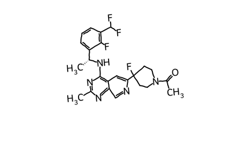 CC(=O)N1CCC(F)(c2cc3c(N[C@H](C)c4cccc(C(F)F)c4F)nc(C)nc3cn2)CC1